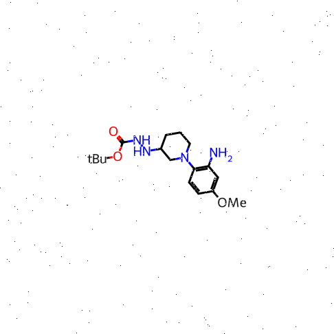 COc1ccc(N2CCCC(NNC(=O)OC(C)(C)C)C2)c(N)c1